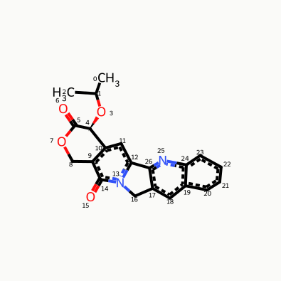 CC(C)O[C@@H]1C(=O)OCc2c1cc1n(c2=O)Cc2cc3ccccc3nc2-1